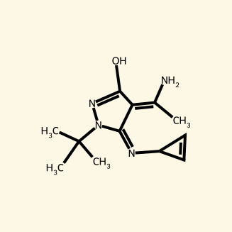 C/C(N)=C1/C(O)=NN(C(C)(C)C)/C1=N/C1C=C1